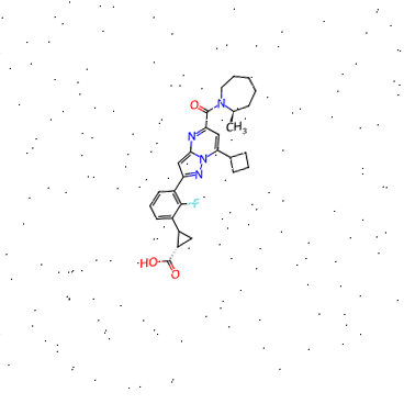 C[C@@H]1CCCCCN1C(=O)c1cc(C2CCC2)n2nc(-c3cccc(C4C[C@@H]4C(=O)O)c3F)cc2n1